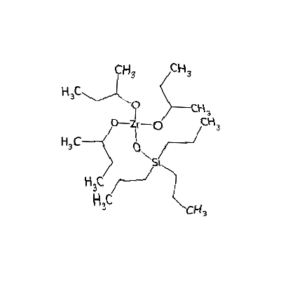 CCC[Si](CCC)(CCC)[O][Zr]([O]C(C)CC)([O]C(C)CC)[O]C(C)CC